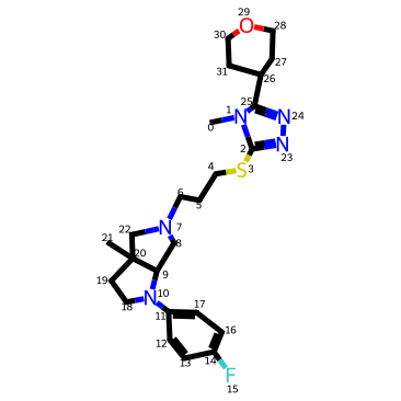 Cn1c(SCCCN2CC3N(c4ccc(F)cc4)CCC3(C)C2)nnc1C1CCOCC1